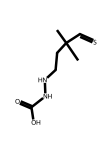 CC(C)(C=S)CCNNC(=O)O